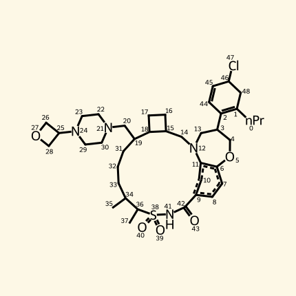 CCCC1=C(C2COc3ccc4cc3N(C2)CC2CCC2C(CN2CCN(C3COC3)CC2)CCCC(C)C(C)S(=O)(=O)NC4=O)C=CC(Cl)C1